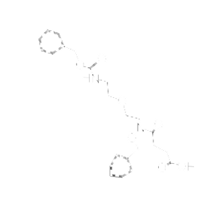 O=C(O)CCC(=O)N(CCOCCNC(=O)OCc1ccccc1)OCc1ccccc1